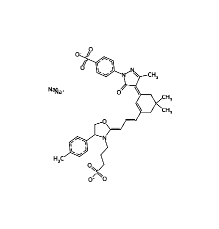 CC1=NN(c2ccc(S(=O)(=O)[O-])cc2)C(=O)C1=C1C=C(C=CC=C2OCC(c3ccc(C)cc3)N2CCCS(=O)(=O)[O-])CC(C)(C)C1.[Na+].[Na+]